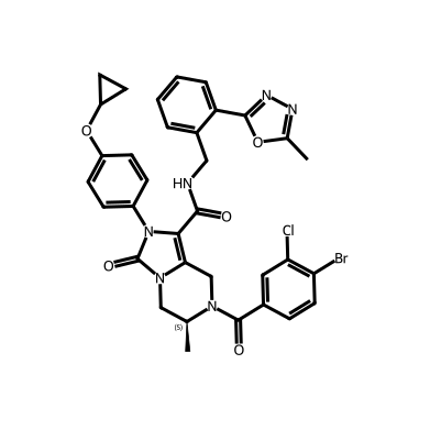 Cc1nnc(-c2ccccc2CNC(=O)c2c3n(c(=O)n2-c2ccc(OC4CC4)cc2)C[C@H](C)N(C(=O)c2ccc(Br)c(Cl)c2)C3)o1